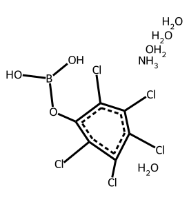 N.O.O.O.O.OB(O)Oc1c(Cl)c(Cl)c(Cl)c(Cl)c1Cl